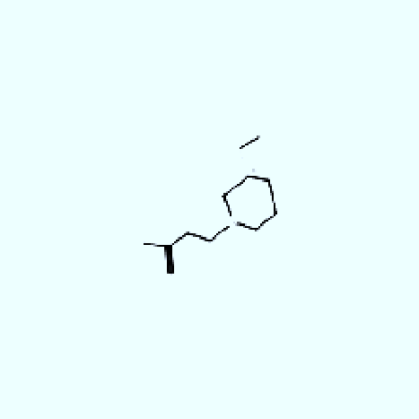 CC[C@@H]1CCCN(CCC(C)=O)C1